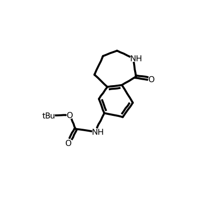 CC(C)(C)OC(=O)Nc1ccc2c(c1)CCCNC2=O